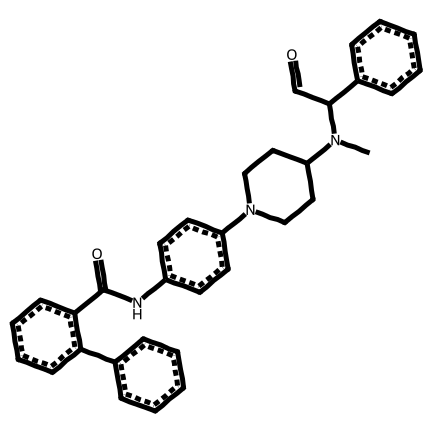 CN(C1CCN(c2ccc(NC(=O)c3ccccc3-c3ccccc3)cc2)CC1)C(C=O)c1ccccc1